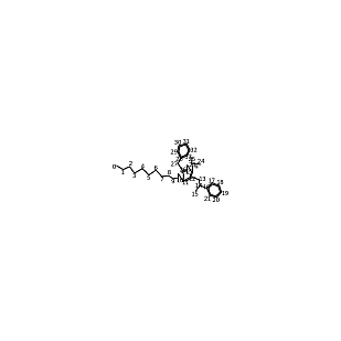 CCCCCCCCCCn1cc(CC(C)c2ccccc2)[n+](C(C)C)c1Cc1ccccc1